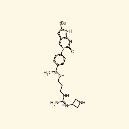 C[C@H](NCCCN/C(N)=N\C1CNC1)c1ccc(-n2cc3cc(C(C)(C)C)[nH]c3nc2=O)cc1